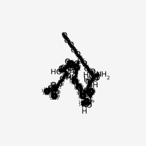 COCCOCCOCCOCCOCCOCCOCCOCCC(=O)N[C@@H](CC(N)=O)C(=O)NCC(=O)NCOC[C@](OC1CC1)(c1ccccc1)c1nc(N2CCC(N3CCC(C)(NCC#Cc4ccc(OC)c(N5CCC(=O)N(CNC(=O)[C@H](CC(=O)O)NC(=O)CCOCCOCCN6C(=O)C(Sc7ccccc7)=C(Sc7ccccc7)C6=O)C5=O)c4)CC3)CC2)nc2ccc(-c3cn(C)c(=O)c4[nH]ccc34)cc12